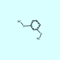 N#COc1cccc(OC#N)c1